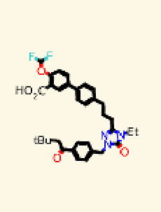 CCn1c(CCCc2ccc(-c3ccc(OC(F)F)c(C(=O)O)c3)cc2)nn(Cc2ccc(C(=O)CC(C)(C)C)cc2)c1=O